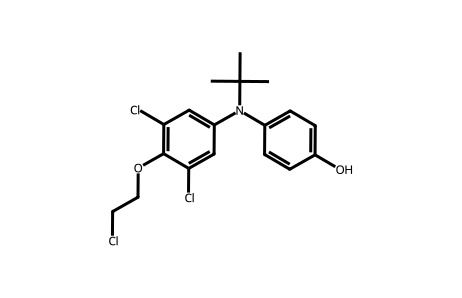 CC(C)(C)N(c1ccc(O)cc1)c1cc(Cl)c(OCCCl)c(Cl)c1